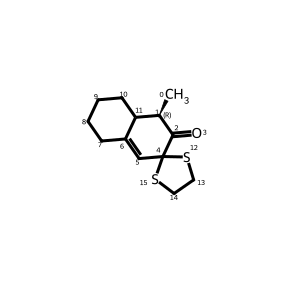 C[C@H]1C(=O)C2(C=C3CCCCC31)SCCS2